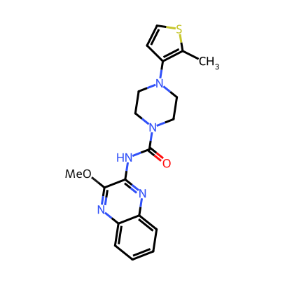 COc1nc2ccccc2nc1NC(=O)N1CCN(c2ccsc2C)CC1